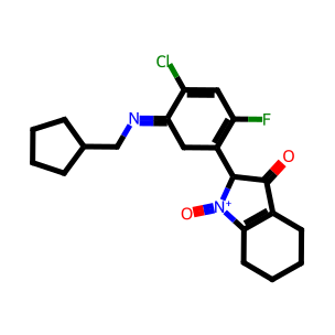 O=C1C2=C(CCCC2)[N+](=O)C1C1=C(F)C=C(Cl)C(=NCC2CCCC2)C1